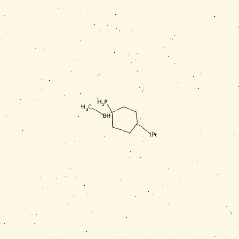 CBC1(P)CCC(C(C)C)CC1